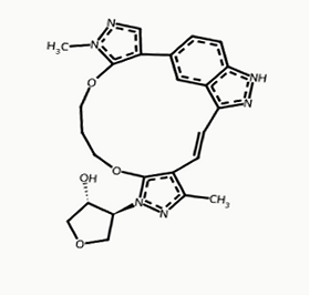 Cc1nn([C@H]2COC[C@@H]2O)c2c1/C=C/c1n[nH]c3ccc(cc13)-c1cnn(C)c1OCCCO2